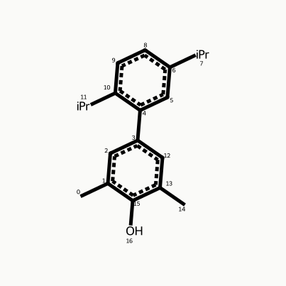 Cc1cc(-c2cc(C(C)C)ccc2C(C)C)cc(C)c1O